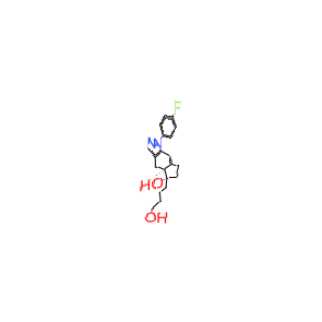 C[C@]12Cc3cnn(-c4ccc(F)cc4)c3C=C1CC[C@@]2(O)CCCCO